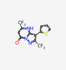 O=c1cc(C(F)(F)F)[nH]c2c(-c3cccs3)c(C(F)(F)F)nn12